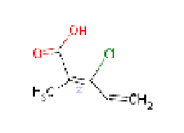 C=C/C(Cl)=C(\C)C(=O)O